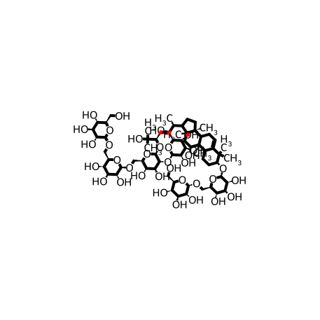 C[C@H](CC[C@@H](O[C@@H]1O[C@H](CO[C@@H]2O[C@H](COC3O[C@H](CO)[C@@H](O)[C@H](O)[C@H]3O)[C@@H](O)[C@H](O)[C@H]2O)[C@@H](O)[C@H](O)[C@H]1O[C@H]1O[C@@H](CO)[C@H](O)[C@@H](O)[C@@H]1O)C(C)(C)O)C1CC[C@@]2(C)C3CC=C4C(CC[C@H](O[C@@H]5O[C@H](CO[C@H]6O[C@H](CO)[C@@H](O)[C@H](O)[C@H]6O)[C@@H](O)[C@H](O)[C@H]5O)C4(C)C)[C@]3(C)[C@H](O)C[C@]12C